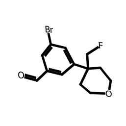 O=Cc1cc(Br)cc(C2(CF)CCOCC2)c1